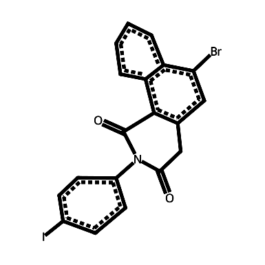 O=C1Cc2cc(Br)c3ccccc3c2C(=O)N1c1ccc(I)cc1